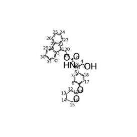 O=C(N[C@@H](CO)c1ccc(OC2CCCCO2)cc1)OCC1c2ccccc2-c2ccccc21